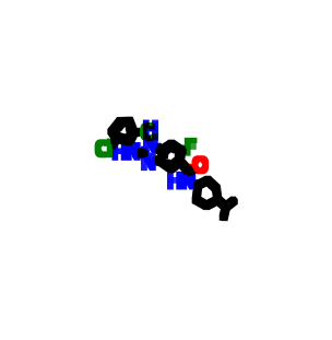 CC(C)C1CCC(NC(=O)c2cc3nc(Nc4c(Cl)cccc4Cl)[nH]c3cc2F)CC1